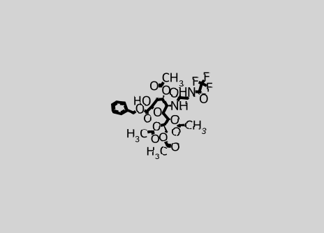 CC(=O)OC[C@@H](OC(C)=O)[C@@H](OC(C)=O)C1O[C@](O)(C(=O)OCc2ccccc2)C[C@H](OC(C)=O)[C@H]1NC(=O)CNC(=O)C(F)(F)F